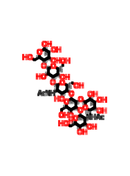 CC(=O)N[C@H]1[C@H](O[C@H]2[C@@H](O)[C@@H](CO)O[C@@H](O[C@H]3[C@H](O)[C@@H](O)[C@H](O)O[C@@H]3CO)[C@@H]2O)O[C@H](CO)[C@@H](O[C@@H]2O[C@H](CO)[C@H](O)[C@H](O[C@H]3O[C@H](CO)[C@H](O)[C@H](O)[C@H]3NC(C)=O)[C@H]2O[C@@H]2O[C@@H](C)[C@@H](O)[C@@H](O)[C@@H]2O)[C@@H]1O